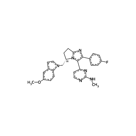 CNc1nccc(-c2c(-c3ccc(F)cc3)nc3n2[C@H](Cn2ccc4cc(OC)ccc42)CC3)n1